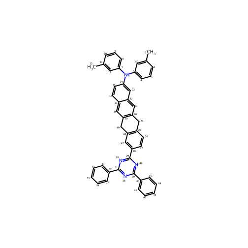 Cc1cccc(N(c2cccc(C)c2)c2ccc3cc4c(cc3c2)Cc2ccc(-c3nc(-c5ccccc5)nc(-c5ccccc5)n3)cc2C4)c1